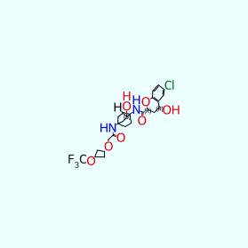 O=C(CO[C@H]1C[C@@H](OC(F)(F)F)C1)NC12CCC(NC(=O)[C@H]3C[C@@H](O)c4cc(Cl)ccc4O3)(CC1)[C@@H](O)C2